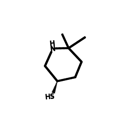 CC1(C)CC[C@H](S)CN1